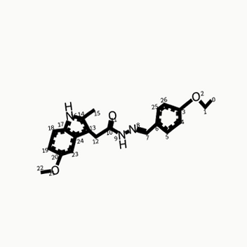 CCOc1ccc(C=NNC(=O)Cc2c(C)[nH]c3ccc(OC)cc23)cc1